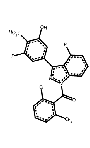 O=C(O)c1c(O)cc(-c2nn(C(=O)c3c(Cl)cccc3C(F)(F)F)c3cccc(F)c23)cc1F